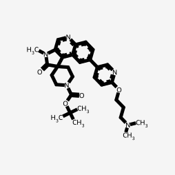 CN(C)CCCOc1ccc(-c2ccc3ncc4c(c3c2)C2(CCN(C(=O)OC(C)(C)C)CC2)C(=O)N4C)cn1